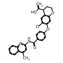 C=C(O)C1CCOc2cc(Oc3ccc(C(=O)Nc4cc(C)c5ccccc5n4)cc3)c(Cl)cc21